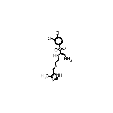 Cc1nc[nH]c1CSCCNC(=CN)S(=O)(=O)c1ccc(Cl)c(Cl)c1